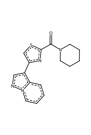 O=C(c1nc(-c2cnn3ccccc23)cs1)N1CCCCC1